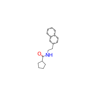 O=C(NCCc1ccc2ccccc2c1)C1CCCC1